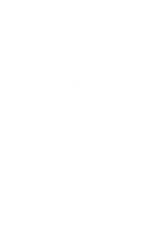 CC(C)(C)c1cccc(C(C)(C)C)[c]1[Na].O=P(O)(O)O